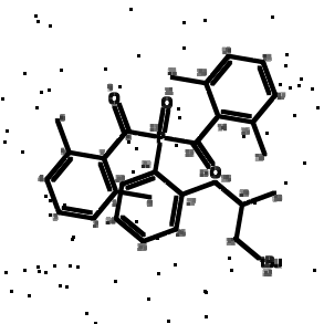 Cc1cccc(C)c1C(=O)P(=O)(C(=O)c1c(C)cccc1C)c1ccccc1CC(C)CC(C)(C)C